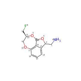 NCC1OB2O[C@H](CF)COc3cccc1c32